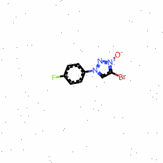 [O-][n+]1nn(-c2ccc(F)cc2)cc1Br